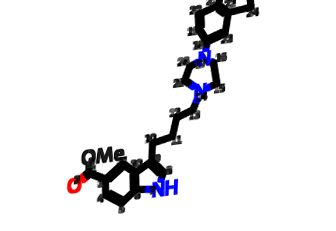 COC(=O)c1ccc2[nH]cc(CCCCN3CCN(c4ccc5c(c4)CCCO5)CC3)c2c1